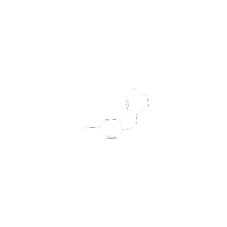 C[C@@]12C=C(N)C=CC1Oc1ccccc12